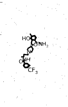 Cc1ccc2c(c1O)C[C@@H](C1CCN(CCC(C)NC(=O)c3ccc(C(F)(F)F)cc3)CC1)O[C@H]2CN